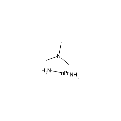 CCCN.CN(C)C.N